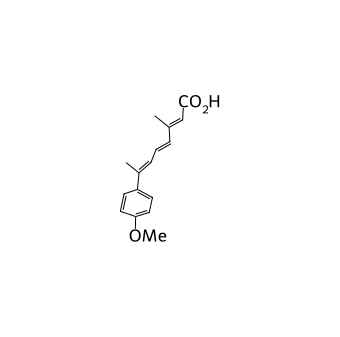 COc1ccc(/C(C)=C/C=C/C(C)=C/C(=O)O)cc1